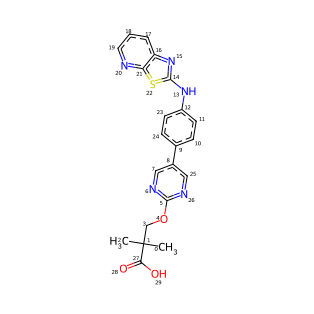 CC(C)(COc1ncc(-c2ccc(Nc3nc4cccnc4s3)cc2)cn1)C(=O)O